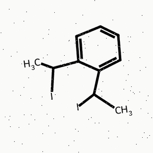 CC(I)c1ccccc1C(C)I